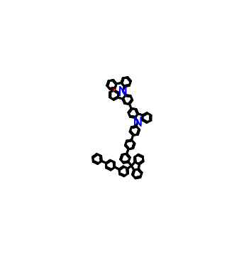 c1ccc(-c2ccc(-c3cccc(C4(c5cccc(-c6ccc(-c7ccc(-n8c9ccccc9c9cc(-c%10ccc%11c(c%10)c%10ccccc%10n%11-c%10ccccc%10-c%10ccccc%10)ccc98)cc7)cc6)c5)c5ccccc5-c5ccccc54)c3)cc2)cc1